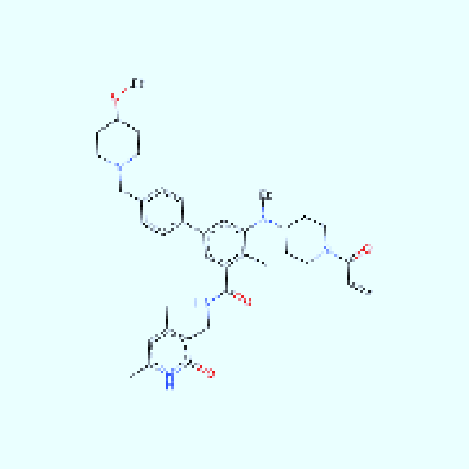 C=CC(=O)N1CCC(N(CC)c2cc(-c3ccc(CN4CCC(OCC)CC4)cc3)cc(C(=O)NCc3c(C)cc(C)[nH]c3=O)c2C)CC1